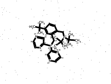 CC(C)(C)c1ccc(CP(C(C)(C)C)C(C)(C)C)c(CP(c2cnccn2)c2cnccn2)c1